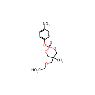 CC1(COCC(=O)O)COP(=S)(Oc2ccc([N+](=O)[O-])cc2)OC1